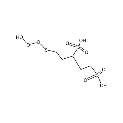 O=S(=O)(O)CCC(CCSOOO)S(=O)(=O)O